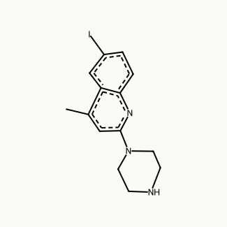 Cc1cc(N2CCNCC2)nc2ccc(I)cc12